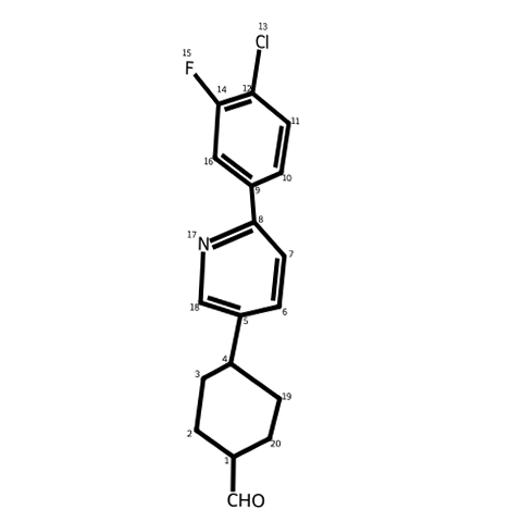 O=CC1CCC(c2ccc(-c3ccc(Cl)c(F)c3)nc2)CC1